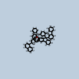 c1ccc(N(c2ccc3c(c2)C2(c4ccccc4-c4cc5oc6ccccc6c5cc42)c2cccc4c5ccccc5n-3c24)c2ccc3oc(-c4cccc5ccccc45)cc3c2)cc1